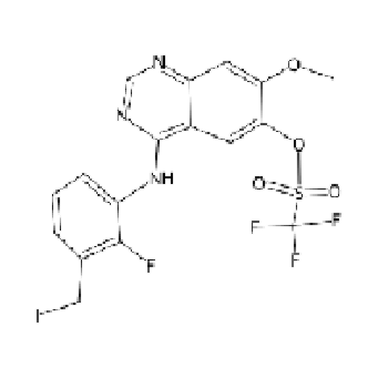 COc1cc2ncnc(Nc3cccc(CI)c3F)c2cc1OS(=O)(=O)C(F)(F)F